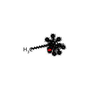 CCCCCCCCCCCCCCCC(=O)O[C@@H]1C(OCc2ccccc2)C(OCc2ccccc2)[C@H](OCc2ccccc2)[C@H](O[C@H]2OC(COCc3ccccc3)[C@@H](OCc3ccccc3)[C@H](OCc3ccccc3)C2N=[N+]=[N-])C1OP(=O)(OCc1ccccc1)OCc1ccccc1